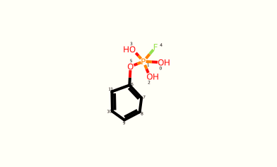 OP(O)(O)(F)Oc1ccccc1